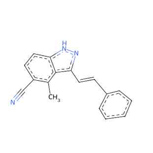 Cc1c(C#N)ccc2[nH]nc(C=Cc3ccccc3)c12